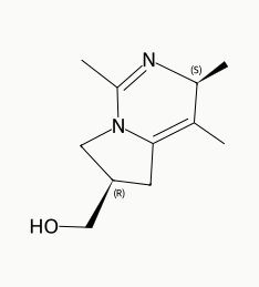 CC1=N[C@@H](C)C(C)=C2C[C@@H](CO)CN12